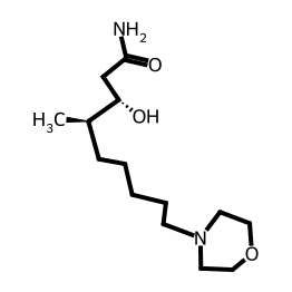 C[C@H](CCCCCN1CCOCC1)[C@@H](O)CC(N)=O